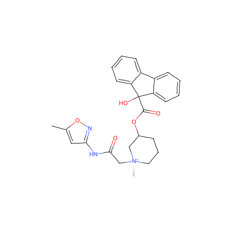 Cc1cc(NC(=O)C[N@+]2(C)CCCC(OC(=O)C3(O)c4ccccc4-c4ccccc43)C2)no1